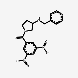 O=C(c1cc([N+](=O)[O-])cc([N+](=O)[O-])c1)N1CCC(NCc2ccncc2)C1